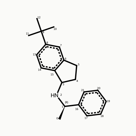 C[C@@H](NC1CCc2cc(C(C)(C)C)ccc21)c1ccccc1